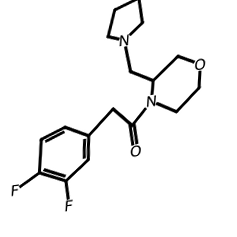 O=C(Cc1ccc(F)c(F)c1)N1CCOCC1CN1CCCC1